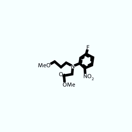 COCCCN(CC(=O)OC)c1cc(F)ccc1[N+](=O)[O-]